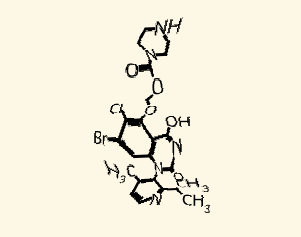 Cc1ccnc(C(C)C)c1-n1c(=O)nc(O)c2c(OCOC(=O)N3CCNCC3)c(Cl)c(Br)cc21